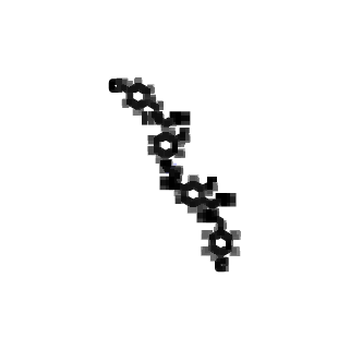 N=C(NCc1ccc(Cl)cc1)c1ccc(/N=N/Nc2ccc(C(=N)NCc3ccc(Cl)cc3)c(F)c2)cc1F